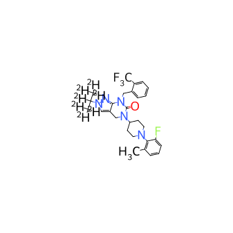 [2H]C([2H])([2H])C([2H])(n1cc2c(n1)N(Cc1ccccc1C(F)(F)F)C(=O)N(C1CCN(c3c(C)cccc3F)CC1)C2)C([2H])([2H])[2H]